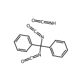 N=C=O.O=C=NC(N=C=O)(c1ccccc1)c1ccccc1